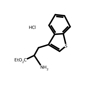 CCOC(=O)C(N)Cc1csc2ccccc12.Cl